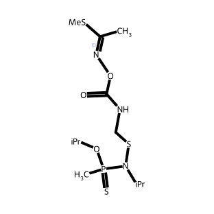 CS/C(C)=N/OC(=O)NCSN(C(C)C)P(C)(=S)OC(C)C